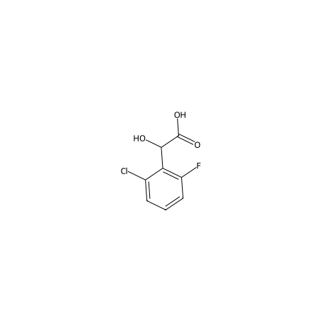 O=C(O)C(O)c1c(F)cccc1Cl